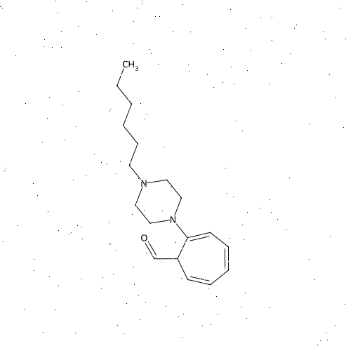 CCCCCCN1CCN(C2=CC=CC=CC2C=O)CC1